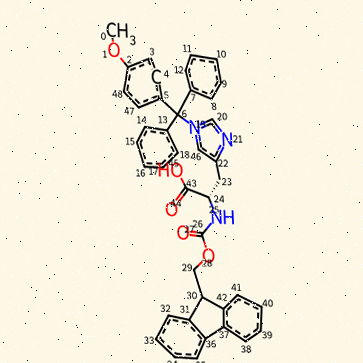 COc1ccc(C(c2ccccc2)(c2ccccc2)n2cnc(C[C@H](NC(=O)OCC3c4ccccc4-c4ccccc43)C(=O)O)c2)cc1